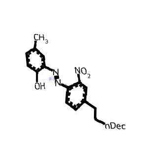 CCCCCCCCCCCCc1ccc(/N=N/c2cc(C)ccc2O)c([N+](=O)[O-])c1